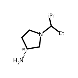 CCC(C(C)C)N1CC[C@@H](N)C1